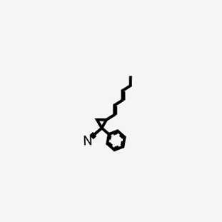 CC/C=C/C=C/C1CC1(C#N)c1ccccc1